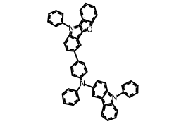 c1ccc(N(c2ccc(-c3ccc4c(c3)c3oc5ccccc5c3n4-c3ccccc3)cc2)c2ccc3c(c2)c2ccccc2n3-c2ccccc2)cc1